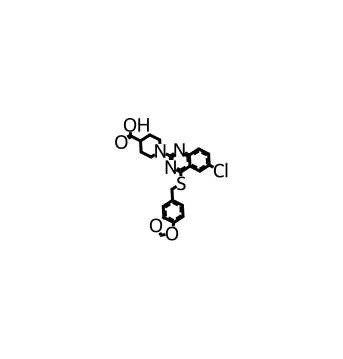 O=C(O)C1CCN(c2nc(SCc3ccc4c(c3)OCO4)c3cc(Cl)ccc3n2)CC1